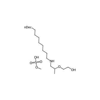 CCCCCCCCCCCCCCCCCCNCC(C)OCCO.COS(=O)(=O)O